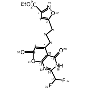 CCOC(=O)c1cc(CCCc2cc(=O)oc3nc(C(F)F)[nH]c(=O)c23)on1